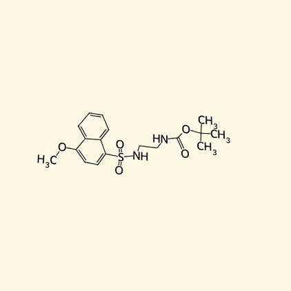 COc1ccc(S(=O)(=O)NCCNC(=O)OC(C)(C)C)c2ccccc12